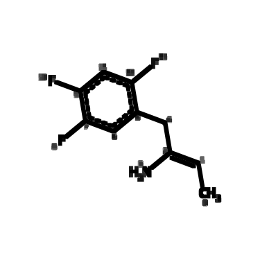 C/C=C(\N)Cc1cc(F)c(F)cc1F